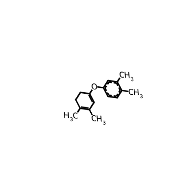 CC1=C(C)CCC(Oc2ccc(C)c(C)c2)=C1